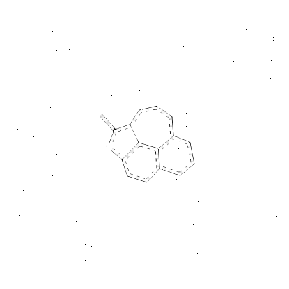 O=c1[nH]c2ccc3cccc4cccc1-c2c43